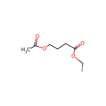 CC(=O)OCCCC(=O)OCI